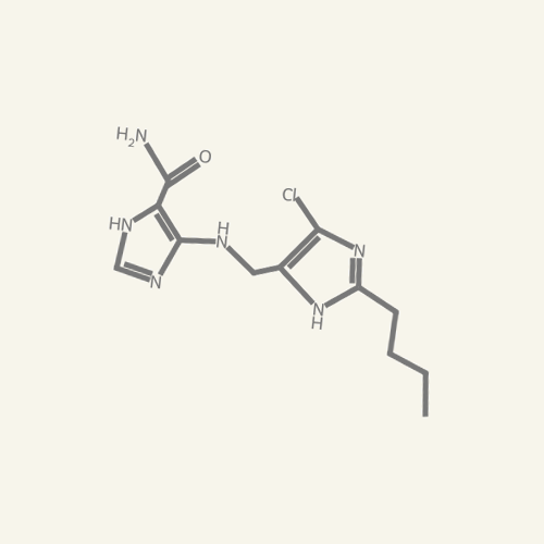 CCCCc1nc(Cl)c(CNc2nc[nH]c2C(N)=O)[nH]1